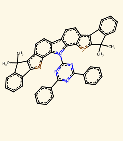 CC1(C)c2ccccc2-c2c1sc1c2ccc2c3ccc4c5c(sc4c3n(-c3nc(-c4ccccc4)nc(-c4ccccc4)n3)c21)-c1ccccc1C5(C)C